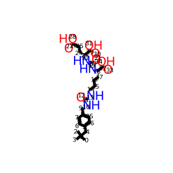 CC(C)(C)Cc1ccc(CNC(=O)NCCCC[C@H](NC(=O)N[C@@H](CCC(=O)O)C(=O)O)C(=O)O)cc1